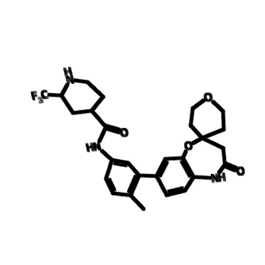 Cc1ccc(NC(=O)C2CCNC(C(F)(F)F)C2)cc1-c1ccc2c(c1)OC1(CCOCC1)CC(=O)N2